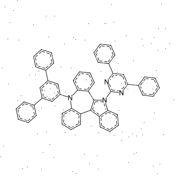 c1ccc(-c2cc(-c3ccccc3)cc(N3c4ccccc4-c4c(n(-c5nc(-c6ccccc6)cc(-c6ccccc6)n5)c5ccccc45)-c4ccccc43)c2)cc1